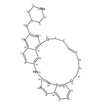 C1=C/CCOc2nc(OC3CCNCC3)nc3ccc(cc23)Nc2ncc3cccc(c3n2)OCCC/1